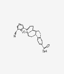 CC12CCC3c4ccc(C(=O)O)cc4CCC3C1CC=C2c1cncc(C#N)c1